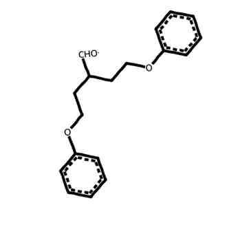 O=[C]C(CCOc1ccccc1)CCOc1ccccc1